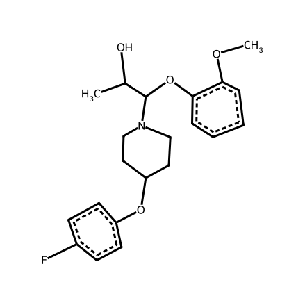 COc1ccccc1OC(C(C)O)N1CCC(Oc2ccc(F)cc2)CC1